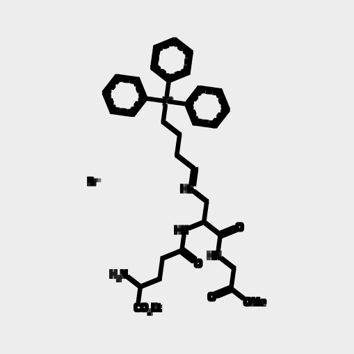 CCOC(=O)C(N)CCC(=O)NC(C[SH]=CCCC[P+](c1ccccc1)(c1ccccc1)c1ccccc1)C(=O)NCC(=O)OC.[Br-]